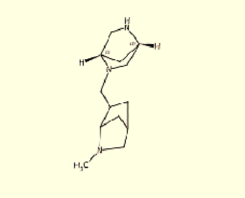 CN1CC2CC(CN3C[C@@H]4C[C@H]3CN4)C1C2